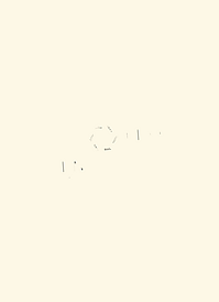 NCc1cccc([C]=O)c1